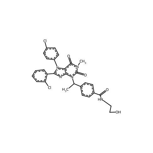 CC(c1ccc(C(=O)NCCO)cc1)n1c(=O)n(C)c(=O)c2c1nc(-c1ccccc1Cl)n2-c1ccc(Cl)cc1